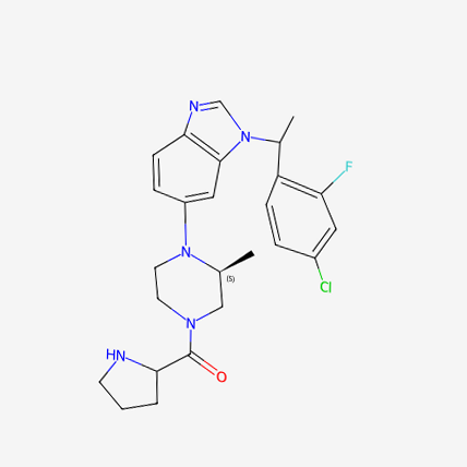 CC(c1ccc(Cl)cc1F)n1cnc2ccc(N3CCN(C(=O)C4CCCN4)C[C@@H]3C)cc21